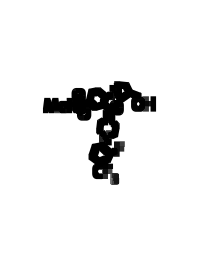 CNS(=O)(=O)c1ccc(N2CCC(CO)C2)c(C(=O)N2CCN(c3ccc(C(F)(F)F)cc3F)CC2)c1